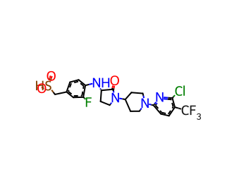 O=C1[C@@H](Nc2ccc(C[SH](=O)=O)cc2F)CCN1C1CCN(c2ccc(C(F)(F)F)c(Cl)n2)CC1